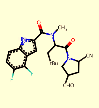 CN(C(=O)c1cc2c(F)c(F)ccc2[nH]1)C(CC(C)(C)C)C(=O)N1CC(C=O)CC1C#N